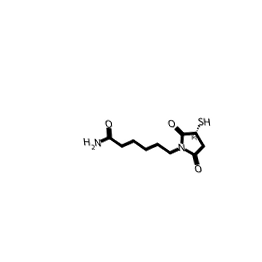 NC(=O)CCCCCN1C(=O)C[C@@H](S)C1=O